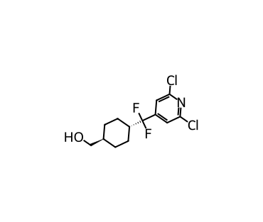 OC[C@H]1CC[C@H](C(F)(F)c2cc(Cl)nc(Cl)c2)CC1